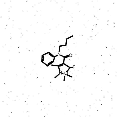 CCCCN(C(=O)C1=C(C)N(C)[N+](C)(C)C1F)c1ccccc1